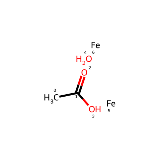 CC(=O)O.O.[Fe].[Fe]